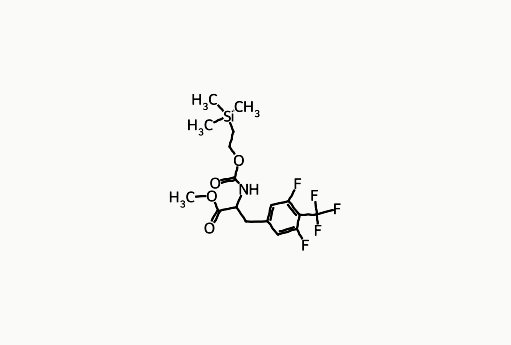 COC(=O)C(Cc1cc(F)c(C(F)(F)F)c(F)c1)NC(=O)OCC[Si](C)(C)C